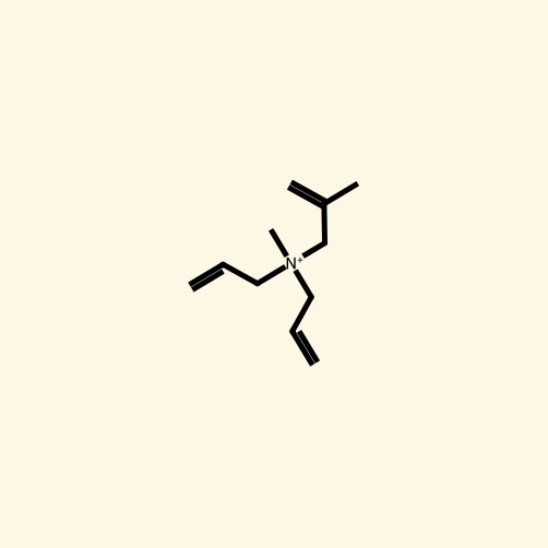 C=CC[N+](C)(CC=C)CC(=C)C